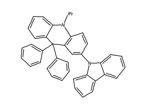 CC(C)N1c2ccccc2C(c2ccccc2)(c2ccccc2)c2cc(-n3c4ccccc4c4ccccc43)ccc21